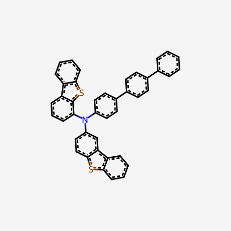 c1ccc(-c2ccc(-c3ccc(N(c4ccc5sc6ccccc6c5c4)c4cccc5c4sc4ccccc45)cc3)cc2)cc1